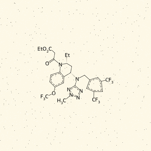 CCOC(=O)CC(=O)N1c2ccc(OC(F)(F)F)cc2[C@@H](N(Cc2cc(C(F)(F)F)cc(C(F)(F)F)c2)c2nnn(C)n2)C[C@H]1CC